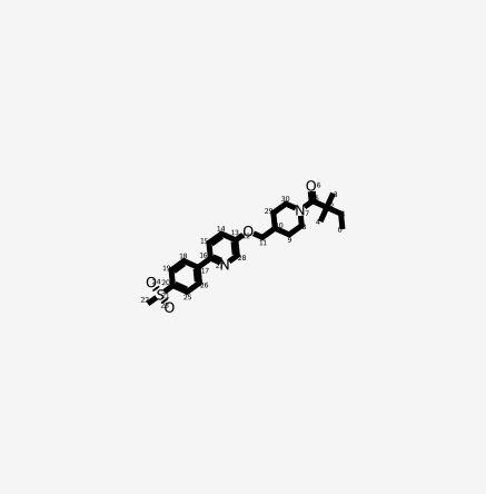 CCC(C)(C)C(=O)N1CCC(COc2ccc(-c3ccc(S(C)(=O)=O)cc3)nc2)CC1